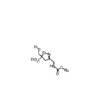 CCOCC1(C(=O)OCC)CC(CNC(=O)OC(C)(C)C)=NO1